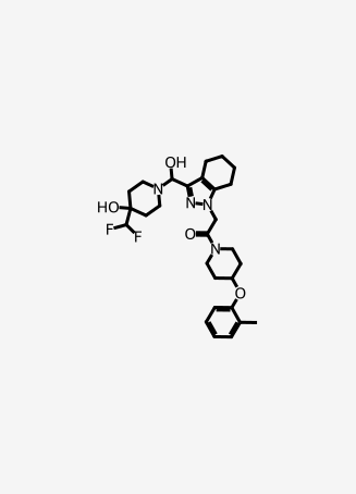 Cc1ccccc1OC1CCN(C(=O)Cn2nc(C(O)N3CCC(O)(C(F)F)CC3)c3c2CCCC3)CC1